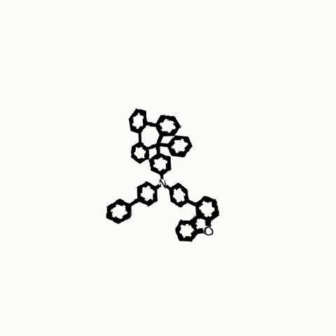 c1ccc(-c2ccc(N(c3ccc(-c4cccc5oc6ccccc6c45)cc3)c3ccc(C4(c5ccccc5)c5ccccc5-c5ccccc5-c5ccccc54)cc3)cc2)cc1